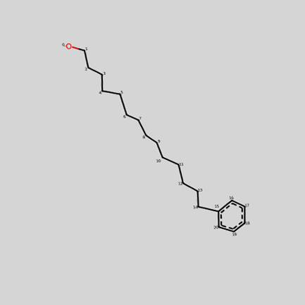 [O]CCCCCCCCCCCCCCc1ccccc1